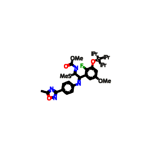 COC(=O)/N=C(SC)/C(=N\c1ccc(-c2noc(C)n2)cc1)c1cc(OC)cc(O[Si](C(C)C)(C(C)C)C(C)C)c1F